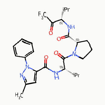 Cc1cc(C(=O)N[C@H](C(=O)N2CCC[C@H]2C(=O)N[C@H](C(=O)C(F)(F)F)C(C)C)C(C)C)n(-c2ccccc2)n1